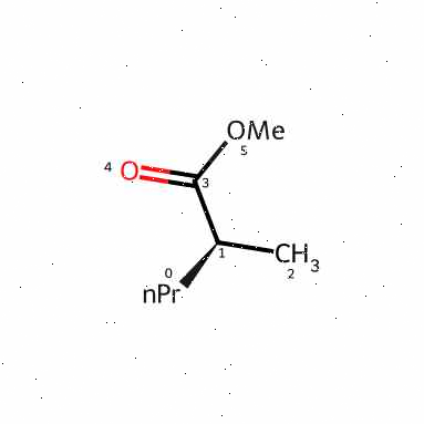 CCC[C@H](C)C(=O)OC